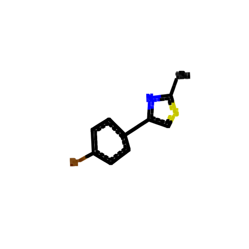 CC(C)(C)c1nc(-c2ccc(Br)cc2)cs1